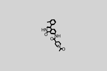 CC(=O)N1CCC(C(=O)Nc2ccc3c(-c4ccccc4C)c[nH]c(=O)c3c2)CC1